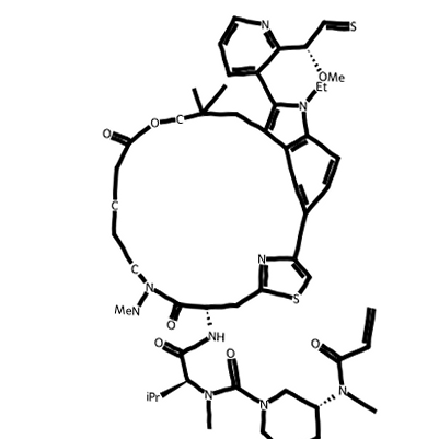 C=CC(=O)N(C)[C@@H]1CCCN(C(=O)N(C)[C@H](C(=O)N[C@H]2Cc3nc(cs3)-c3ccc4c(c3)c(c(-c3cccnc3[C@H](C=S)OC)n4CC)CC(C)(C)COC(=O)CCCCN(NC)C2=O)C(C)C)C1